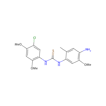 COc1cc(NC(=S)Nc2cc(Cl)c(OC)cc2OC)c(C)cc1N